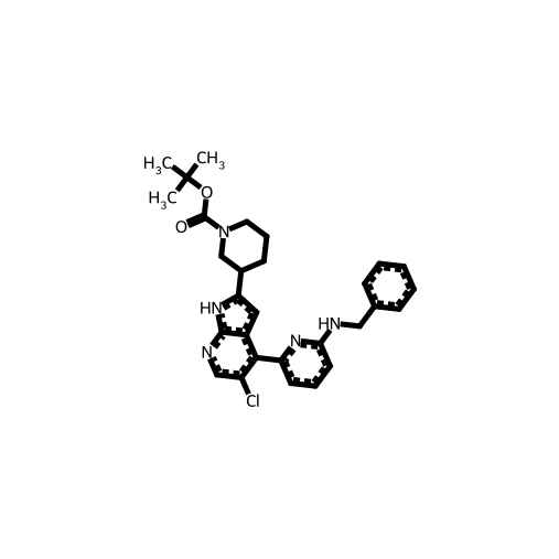 CC(C)(C)OC(=O)N1CCCC(c2cc3c(-c4cccc(NCc5ccccc5)n4)c(Cl)cnc3[nH]2)C1